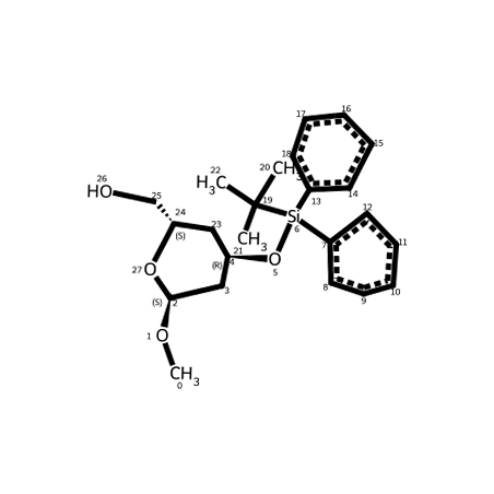 CO[C@@H]1C[C@H](O[Si](c2ccccc2)(c2ccccc2)C(C)(C)C)C[C@@H](CO)O1